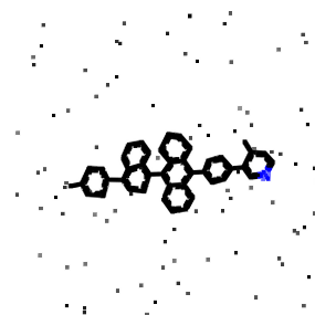 Cc1ccc(-c2ccc(-c3c4ccccc4c(-c4ccc(-c5cnccc5C)cc4)c4ccccc34)c3ccccc23)cc1